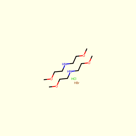 Br.COCCNCCOC.COCCNCCOC.Cl